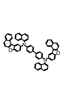 c1ccc2c(N(c3ccc(-c4ccc(N(c5ccc6oc7ccc8ccccc8c7c6c5)c5cccc6ccccc56)cc4)cc3)c3ccc4oc5ccc6ccccc6c5c4c3)cccc2c1